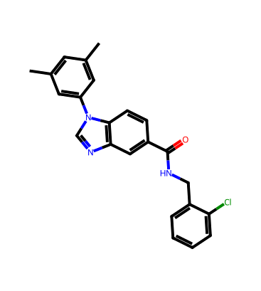 Cc1cc(C)cc(-n2cnc3cc(C(=O)NCc4ccccc4Cl)ccc32)c1